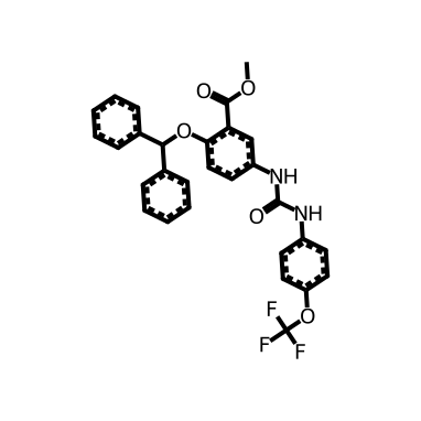 COC(=O)c1cc(NC(=O)Nc2ccc(OC(F)(F)F)cc2)ccc1OC(c1ccccc1)c1ccccc1